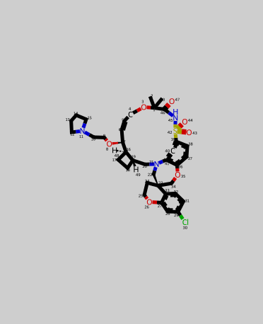 CC1(C)OCC=C[C@H](OCCN2CCCC2)[C@@H]2CC[C@H]2CN2C[C@@]3(CCOc4cc(Cl)ccc43)COc3ccc(cc32)S(=O)(=O)NC1=O